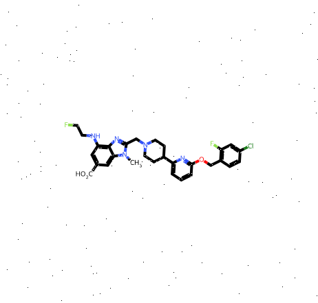 Cn1c(CN2CCC(c3cccc(OCc4ccc(Cl)cc4F)n3)CC2)nc2c(NCCF)cc(C(=O)O)cc21